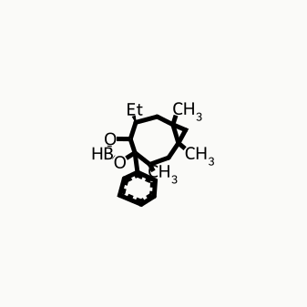 CC[C@H]1CC2(C)CC2(C)CC(C)C2(c3ccccc3)OBOC12